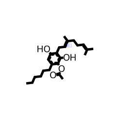 CCCCCCc1cc(O)c(C/C=C(\C)CCC=C(C)C)c(O)c1OC(C)=O